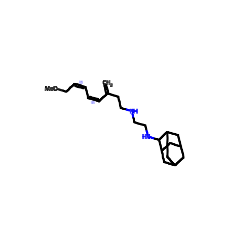 C=C(/C=C\C=C/COC)CCNCCNC1C2CC3CC(C2)CC1C3